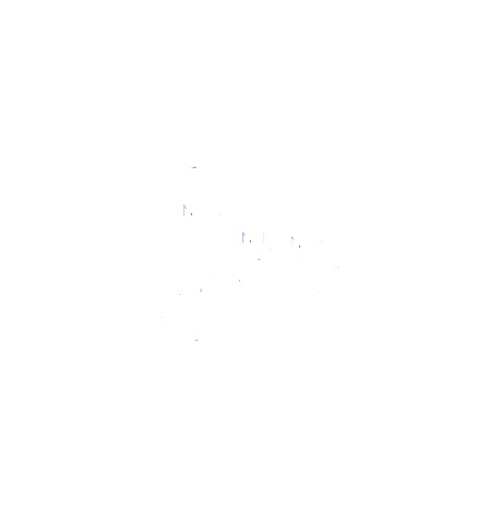 Cc1ccc(C(/C=C(\N)c2ccccn2)=C/Cc2ccccn2)cc1